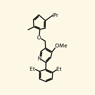 CCc1cccc(CC)c1-c1cc(OC)c(COc2cc(C(C)C)ccc2C)cn1